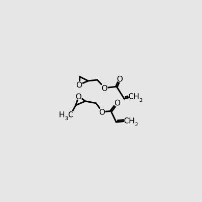 C=CC(=O)OCC1CO1.C=CC(=O)OCC1OC1C